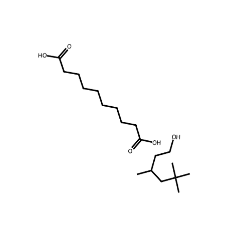 CC(CCO)CC(C)(C)C.O=C(O)CCCCCCCCC(=O)O